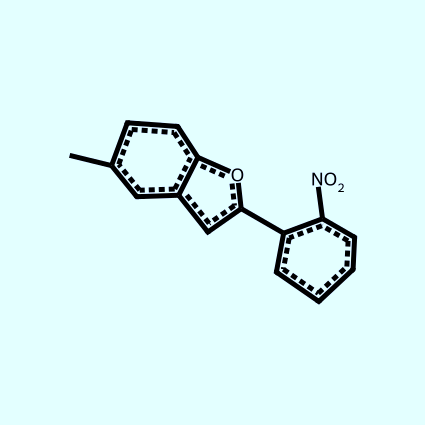 Cc1ccc2oc(-c3ccccc3[N+](=O)[O-])cc2c1